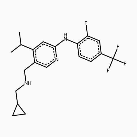 CC(C)c1cc(Nc2ccc(C(F)(F)F)cc2F)ncc1CNCC1CC1